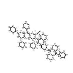 CC1(C)c2cc(N(c3ccccc3)c3cc(-c4ccccc4)cc(-c4ccccc4)c3F)ccc2-c2c(-c3ccccc3)c3ccc(N(c4ccccc4)c4cccc5c4oc4ccccc45)cc3c3cccc1c23